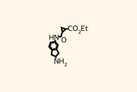 CCOC(=O)C1CC1C(=O)Nc1ccc2c(c1)CC(N)C2